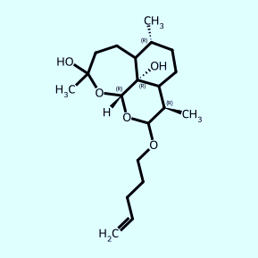 C=CCCCOC1O[C@@H]2OC(C)(O)CCC3[C@H](C)CCC([C@H]1C)[C@]32O